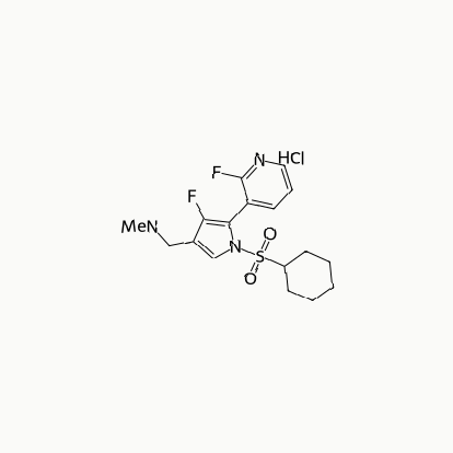 CNCc1cn(S(=O)(=O)C2CCCCC2)c(-c2cccnc2F)c1F.Cl